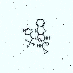 O=S(=O)(Nc1nc2ccccc2nc1OC(c1cncs1)C(F)(F)F)NC1CC1